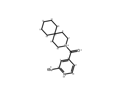 CC(C)(C)c1cc(C(=O)N2CCC3(CCCCC3)CC2)ccn1